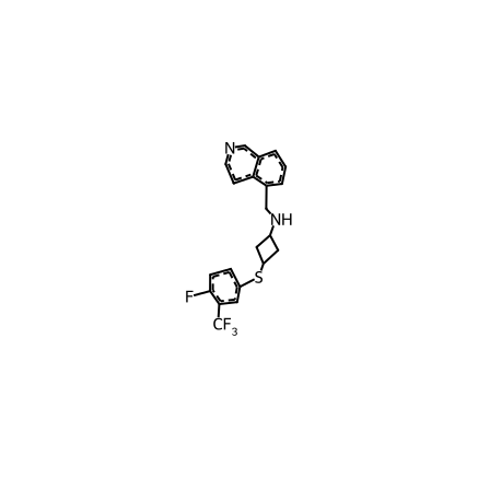 Fc1ccc(SC2CC(NCc3cccc4cnccc34)C2)cc1C(F)(F)F